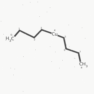 CCC[CH2][Cu][CH2]CCC